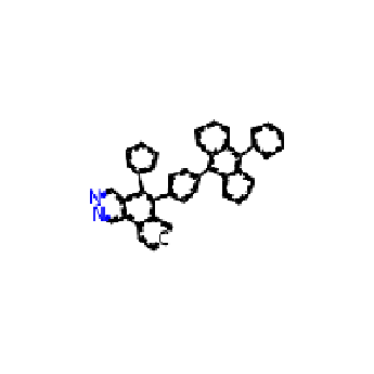 c1ccc(-c2c3ccccc3c(-c3ccc(-c4c(-c5ccccc5)c5cnncc5c5ccccc45)cc3)c3ccccc23)cc1